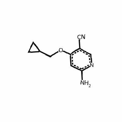 N#Cc1cnc(N)cc1OCC1CC1